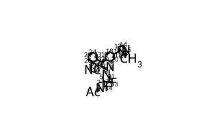 CC(=O)N1CC2(C1)CN(c1nc3cc(-c4ccnn4C)ccc3c(-c3ccccc3Cl)c1C#N)CC2(F)F